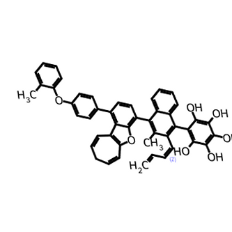 C=C/C=C\c1c(C)c(-c2ccc(-c3ccc(Oc4ccccc4C)cc3)c3c4c(oc23)C=CCC=C4)c2ccccc2c1-c1c(O)c(O)c(O)c(O)c1O